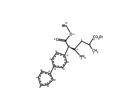 CCOC(=O)C(C)CC(N)[C@H](C(=O)OC(C)(C)C)c1ccc(-c2ccccc2)cc1